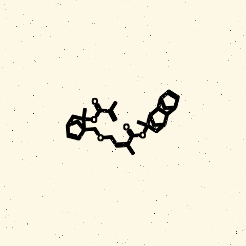 C=C(C)C(=O)OC1(C)CC2C=CC1(COC/C=C(/C)C(=O)OC1(C)CC3CC1C1C4C=CC(C4)C31)C2